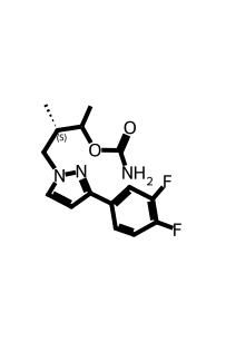 CC(OC(N)=O)[C@@H](C)Cn1ccc(-c2ccc(F)c(F)c2)n1